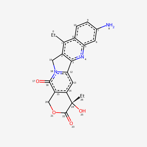 CCc1c2c(nc3cc(N)ccc13)-c1cc3c(c(=O)n1C2)COC(=O)[C@]3(O)CC